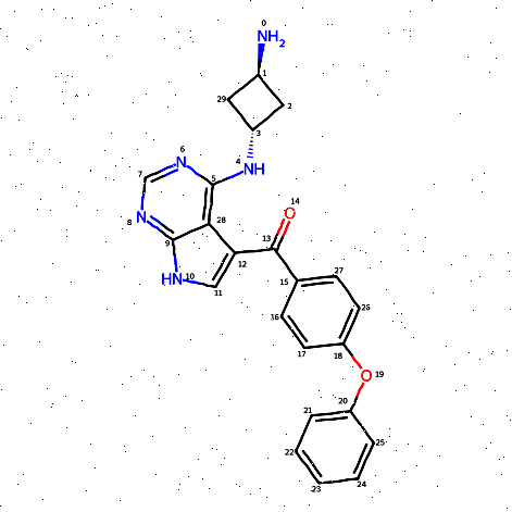 N[C@H]1C[C@H](Nc2ncnc3[nH]cc(C(=O)c4ccc(Oc5ccccc5)cc4)c23)C1